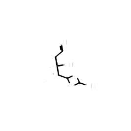 C=CC[C@](C)(C(=O)O)[C@@H](O)C1OC(C)O1